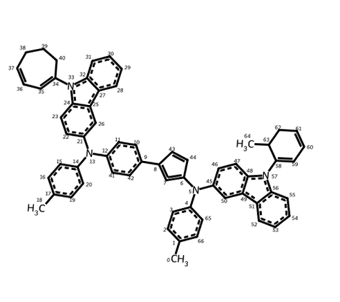 Cc1ccc(N(C2=C=C(c3ccc(N(c4ccc(C)cc4)c4ccc5c(c4)c4ccccc4n5C4=CC=CCCC4)cc3)C=C2)c2ccc3c(c2)c2ccccc2n3C2=CC=CCC2C)cc1